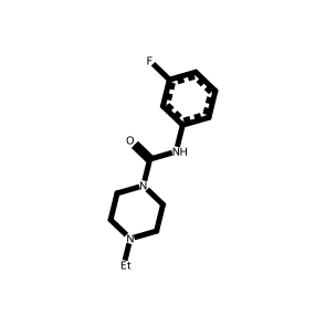 CCN1CCN(C(=O)Nc2cccc(F)c2)CC1